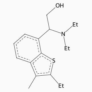 CCc1sc2c(C(CO)N(CC)CC)cccc2c1C